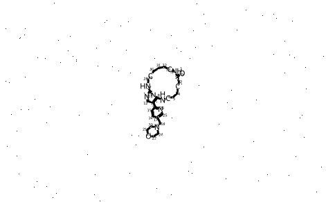 O=C1CCCCCNc2nc(ncc2-c2ccc(CN3CCOCC3)cn2)NCCCCCCN1